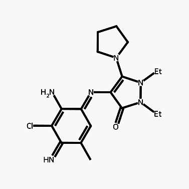 CCn1c(N2CCCC2)c(N=C2C=C(C)C(=N)C(Cl)=C2N)c(=O)n1CC